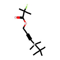 CC(C)(F)C(=O)OCC#C[Si](C)(C)C(C)(C)C